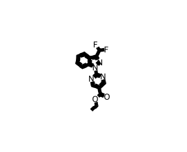 CCOC(=O)c1cnc(-n2nc(C(F)F)c3ccccc32)nc1